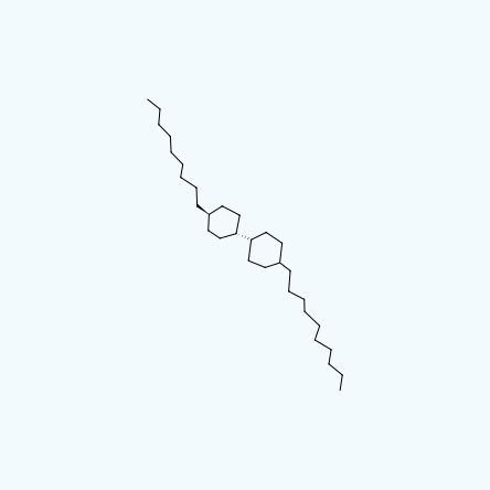 CCCCCCCCCCC1CCC([C@H]2CC[C@H](CCCCCCCCC)CC2)CC1